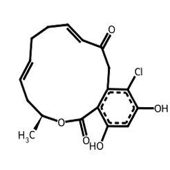 C[C@H]1C/C=C/CC/C=C/C(=O)Cc2c(Cl)c(O)cc(O)c2C(=O)O1